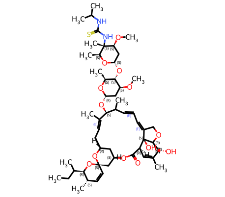 CCC(C)[C@H]1O[C@]2(C=C[C@@H]1C)C[C@@H]1C[C@@H](C/C=C(\C)[C@@H](O[C@H]3C[C@H](OC)[C@@H](O[C@H]4C[C@H](OC)[C@@](C)(NC(=S)NC(C)C)[C@H](C)O4)[C@H](C)O3)C(C)/C=C/C=C3\CO[C@@H]4[C@H](O)C(C)=C[C@@H](C(=O)O1)[C@]34O)O2